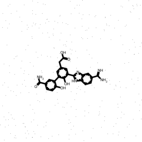 N=C(N)c1ccc2[nH]c(-c3cc(CC(=O)O)cc(-c4cc(C(N)=O)ccc4O)c3O)nc2c1